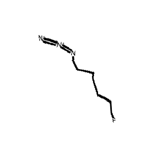 [N-]=[N+]=NCCCCF